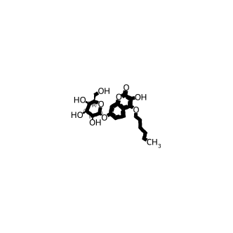 CCCCCCOc1c(O)c(=O)oc2cc(O[C@@H]3O[C@H](CO)[C@H](O)[C@H](O)[C@H]3O)ccc12